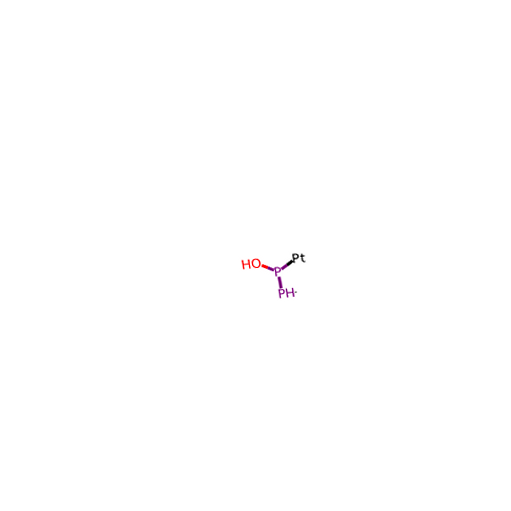 O[P]([PH])[Pt]